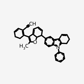 C#CC1=C(C2=C(C)OC3C2=CC=CC3c2ccc3c(c2)c2c(n3-c3ccccc3)CCC=C2)CCC=C1